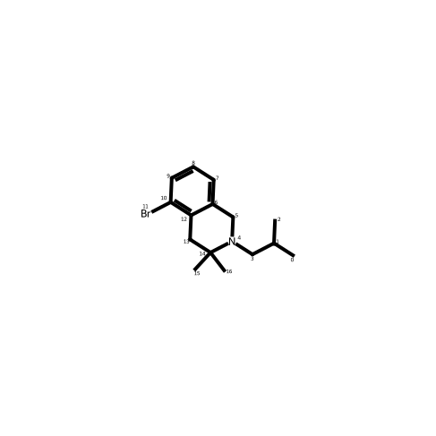 C[C](C)CN1Cc2cccc(Br)c2CC1(C)C